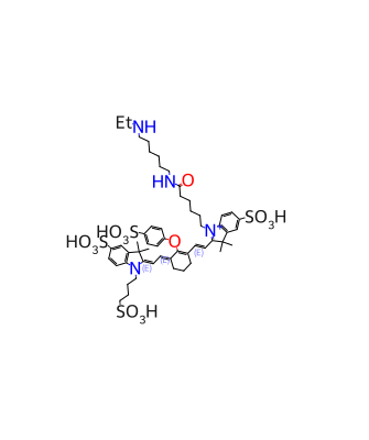 CCNCCCCCCNC(=O)CCCCC[N+]1=C(/C=C/C2=C(Oc3ccc(S(=O)(=O)O)cc3)C(=C/C=C3/N(CCCCS(=O)(=O)O)c4ccc(S(=O)(=O)O)cc4C3(C)C)/CCC2)C(C)(C)c2cc(S(=O)(=O)O)ccc21